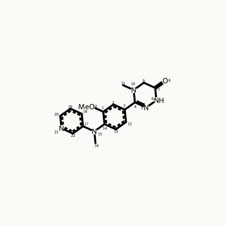 COc1cc(C2=NNC(=O)CN2C)ccc1N(C)c1cccnc1